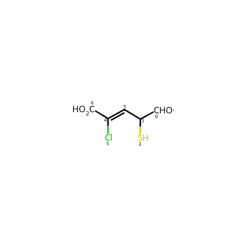 O=[C]C(S)C=C(Cl)C(=O)O